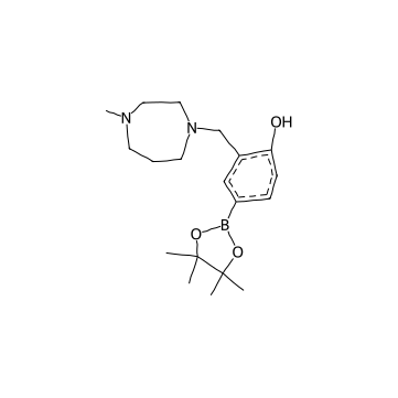 CN1CCCN(Cc2cc(B3OC(C)(C)C(C)(C)O3)ccc2O)CC1